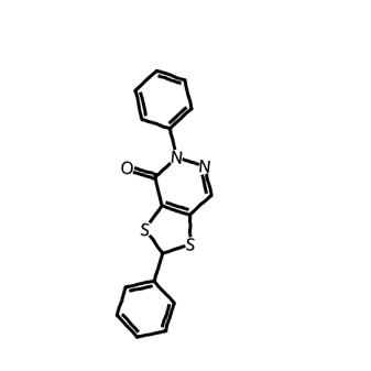 O=c1c2c(cnn1-c1ccccc1)SC(c1ccccc1)S2